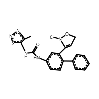 Cc1nnsc1NC(=O)Nc1ccc(-c2ccccc2)c(C2=CCON2Cl)c1